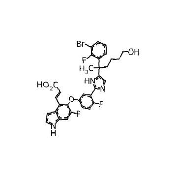 CC(CCCCO)(c1cnc(-c2cc(Oc3c(F)cc4[nH]ccc4c3/C=C/C(=O)O)ccc2F)[nH]1)c1cccc(Br)c1F